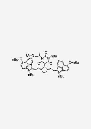 CCCCOc1ccc2c3c1cccc3/c(=C\C=C1/CC/C(=C\C=c3/c4cccc5c(OCCCC)ccc(c54)n3CCCC)C1=C1C(=O)N(CCCC)C(=O)N(C(C)COC)C1=O)n2CCCC